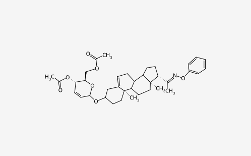 CC(=O)OC[C@H]1OC(OC2CC[C@@]3(C)C(=CCC4C3CC[C@@]3(C)C4CC[C@@H]3/C(C)=N/Oc3ccccc3)C2)C=C[C@@H]1OC(C)=O